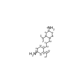 CC(C)C1CC(N)CCC1CCCC1CCC(N)CC1C(C)C